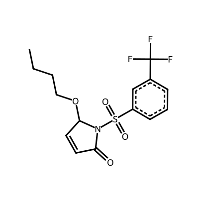 CCCCOC1C=CC(=O)N1S(=O)(=O)c1cccc(C(F)(F)F)c1